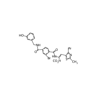 Cc1nc(C(C)C)c(C=C(NC(=O)c2ccc(C(=O)NCc3cccc(O)c3)cc2Br)C(=O)O)s1